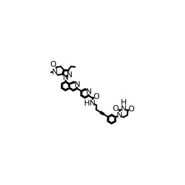 CCc1nn(-c2cccc3cc(-c4ccc(C(=O)NCCC#Cc5cccc(N6CCC(=O)NC6=O)c5)nc4)ncc23)c2c1CC(=O)N(C)C2